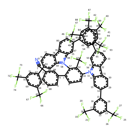 N#Cc1cccc(-c2ccc(-n3c4cc(-c5cc(C(F)(F)F)cc(C(F)(F)F)c5)ccc4c4ccc(-c5cc(C(F)(F)F)cc(C(F)(F)F)c5)cc43)c(C(F)(F)F)c2-n2c3cc(-c4cc(C(F)(F)F)cc(C(F)(F)F)c4)ccc3c3ccc(-c4cc(C(F)(F)F)cc(C(F)(F)F)c4)cc32)c1